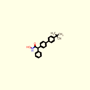 CC(C)(C#N)c1ccc(-c2ccc(C(C(=O)NO)c3ccccc3)cc2)cc1